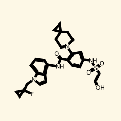 O=C(Nc1cccc2c1ccn2CC1(F)CC1)c1ccc(NS(=O)(=O)CCO)cc1N1CCC2(CC1)CC2